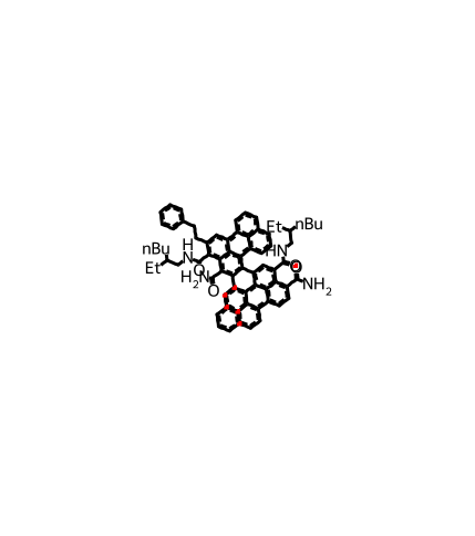 CCCCC(CC)CNC(=O)c1cc(-c2c(CCc3ccccc3)c(C(N)=O)c3c(C(=O)NCC(CC)CCCC)c(CCc4ccccc4)cc4c5cccc6cccc(c2c34)c65)c2c3cccc4cccc(c5ccc(C(N)=O)c1c52)c43